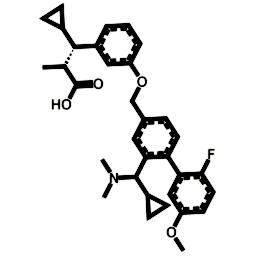 COc1ccc(F)c(-c2ccc(COc3cccc([C@@H](C4CC4)C(C)C(=O)O)c3)cc2C(C2CC2)N(C)C)c1